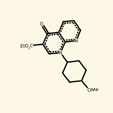 CCOC(=O)c1cn(C2CCC(OC)CC2)c2ncccc2c1=O